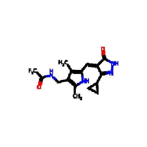 Cc1[nH]c(C=C2C(=O)NN=C2C2CC2)c(C)c1CNC(=O)C(F)(F)F